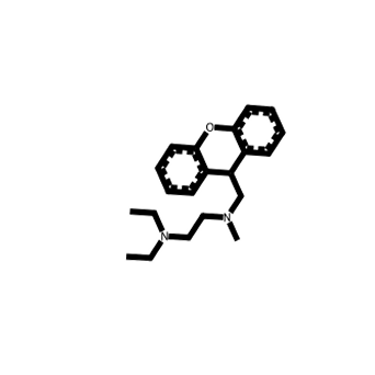 CCN(CC)CCN(C)CC1c2ccccc2Oc2ccccc21